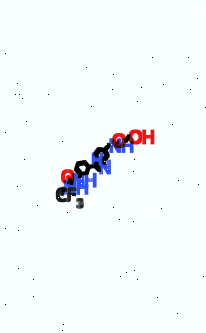 O=C(NCC(F)(F)F)NC1=CC=CC(c2cnc3cc(CNOCCO)ccn23)C1